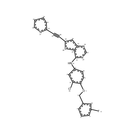 Fc1cccc(COc2ccc(Nc3ncnc4cc(C#Cc5ccccn5)sc34)cc2Cl)c1